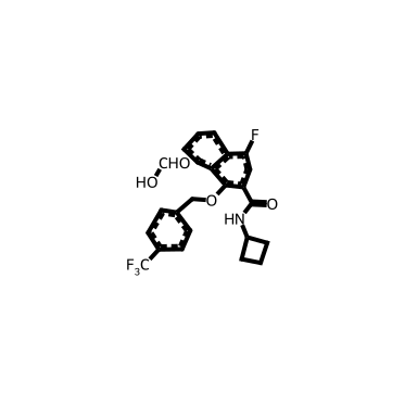 O=C(NC1CCC1)c1cc(F)c2ccccc2c1OCc1ccc(C(F)(F)F)cc1.O=CO